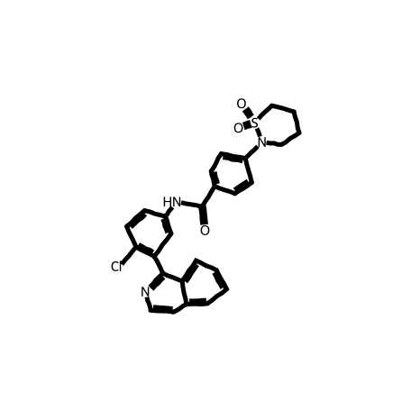 O=C(Nc1ccc(Cl)c(-c2nccc3ccccc23)c1)c1ccc(N2CCCCS2(=O)=O)cc1